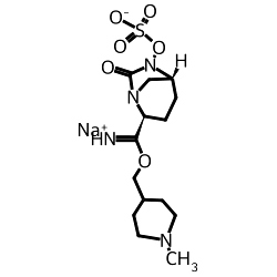 CN1CCC(COC(=N)[C@@H]2CC[C@@H]3CN2C(=O)N3OS(=O)(=O)[O-])CC1.[Na+]